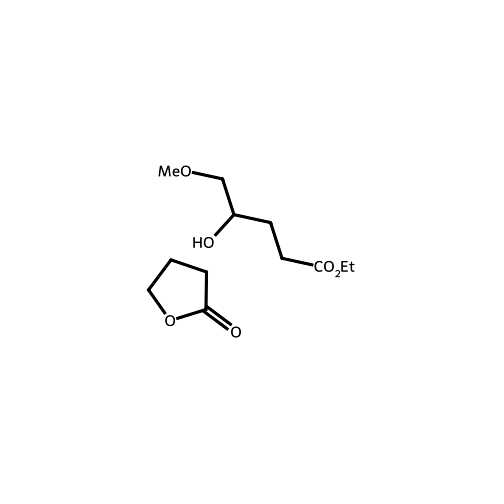 CCOC(=O)CCC(O)COC.O=C1CCCO1